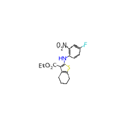 CCOC(=O)c1c(Nc2ccc(F)cc2[N+](=O)[O-])sc2c1CCCC2